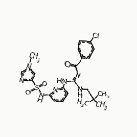 Cn1cnc(S(=O)(=O)Nc2cccc(N/C(=N\C(=O)c3ccc(Cl)cc3)NCC(C)(C)C)n2)c1